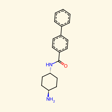 N[C@H]1CC[C@H](NC(=O)c2ccc(-c3ccccc3)cc2)CC1